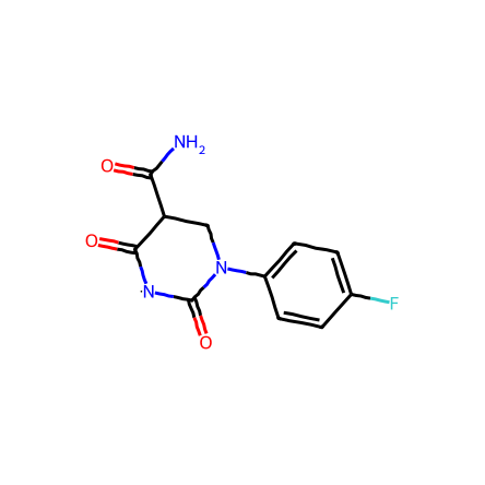 NC(=O)C1CN(c2ccc(F)cc2)C(=O)[N]C1=O